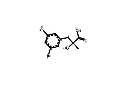 C[C@@](O)(Cc1cc(Br)cc(Br)c1)C(=O)O